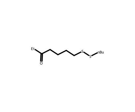 CCCCSSCCCCC(=O)CC